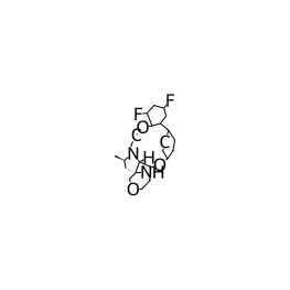 C[C@@H]1C[C@]2(COCCN2)[C@H]2COC3CCC(CC3)C3CC(F)CC(F)C3OCCN12